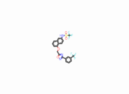 O=S(=O)(Nc1ccc2c(OCc3nc(-c4cccc(C(F)(F)F)c4)no3)cccc2c1)C(F)(F)F